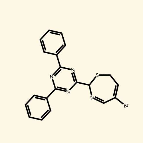 BrC1=CCSC(c2nc(-c3ccccc3)nc(-c3ccccc3)n2)N=C1